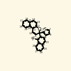 Fc1c(C2(c3cccs3)C=Cc3c(ccc4ccccc34)O2)ccc2ccccc12